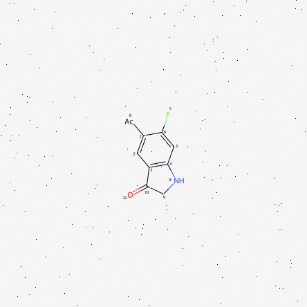 CC(=O)c1cc2c(cc1F)NCC2=O